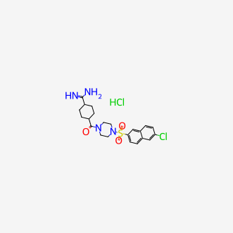 Cl.N=C(N)C1CCC(C(=O)N2CCN(S(=O)(=O)c3ccc4cc(Cl)ccc4c3)CC2)CC1